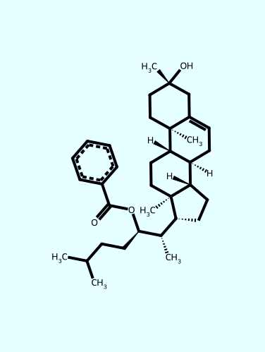 CC(C)CC[C@@H](OC(=O)c1ccccc1)[C@@H](C)[C@H]1CC[C@H]2[C@@H]3CC=C4C[C@@](C)(O)CC[C@]4(C)[C@H]3CC[C@]12C